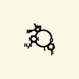 C[C@H]1CCc2nc(cnc2N)-c2c(nn(C)c2C#N)CCCCOc2ccc(F)cc21